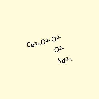 [Ce+3].[Nd+3].[O-2].[O-2].[O-2]